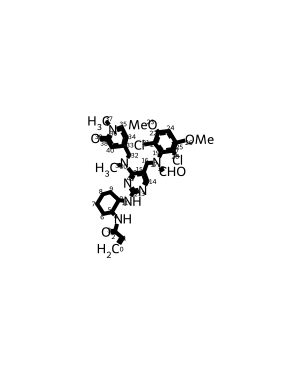 C=CC(=O)NC1CCCCC1Nc1ncc(CN(C=O)c2c(Cl)c(OC)cc(OC)c2Cl)c(N(C)Cc2ccn(C)c(=O)c2)n1